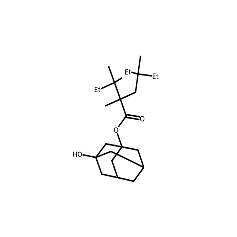 CCC(C)(CC)CC(C)(C(=O)OC12CC3CC(CC(O)(C3)C1)C2)C(C)(C)CC